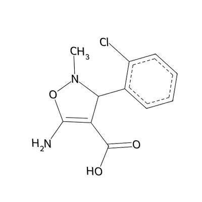 CN1OC(N)=C(C(=O)O)C1c1ccccc1Cl